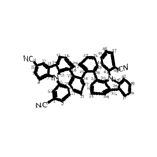 N#Cc1cccc(-n2c3ccc(C#N)cc3c3cccc(-c4ccccc4-c4ccccc4-c4cccc5c6ccccc6n(-c6ccccc6C#N)c45)c32)c1